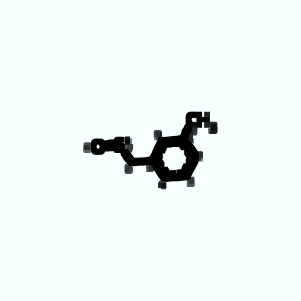 Cc1[c]ccc(C[S+]=O)c1